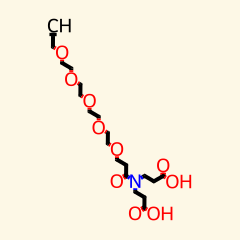 C#CCOCCOCCOCCOCCOCCC(=O)N(CCC(=O)O)CCC(=O)O